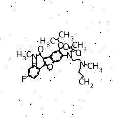 C=CCN(C)CCN(c1cc2oc(-c3ccc(F)cc3)c(C(=O)NC)c2cc1OC(C)C)S(C)(=O)=O